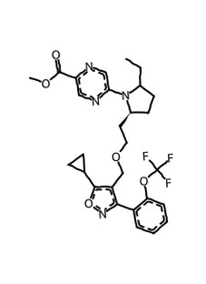 CCC1CC[C@@H](CCOCc2c(-c3ccccc3OC(F)(F)F)noc2C2CC2)N1c1cnc(C(=O)OC)cn1